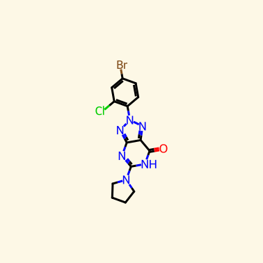 O=c1[nH]c(N2CCCC2)nc2nn(-c3ccc(Br)cc3Cl)nc12